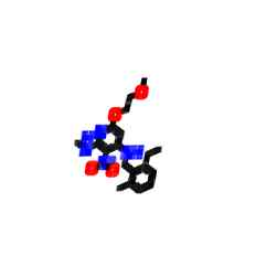 CCc1cccc(C)c1CNc1cc(OCCOC)nc(NC)c1[N+](=O)[O-]